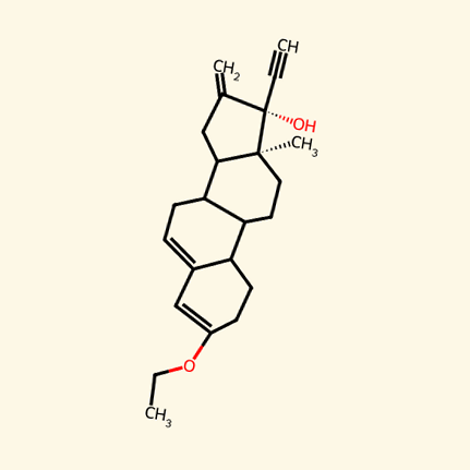 C#C[C@]1(O)C(=C)CC2C3CC=C4C=C(OCC)CCC4C3CC[C@@]21C